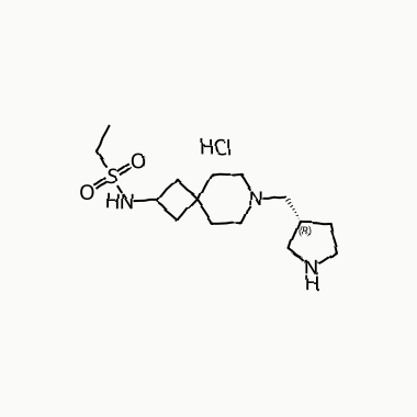 CCS(=O)(=O)NC1CC2(CCN(C[C@@H]3CCNC3)CC2)C1.Cl